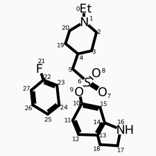 CCN1CCC(CS(=O)(=O)Oc2ccc3c(c2)NCC3)CC1.Fc1ccccc1